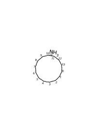 C1CCCCCCCCCCCCC1.N